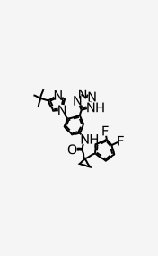 CC(C)(C)c1cn(-c2ccc(NC(=O)C3(c4ccc(F)c(F)c4)CC3)cc2-c2nnn[nH]2)cn1